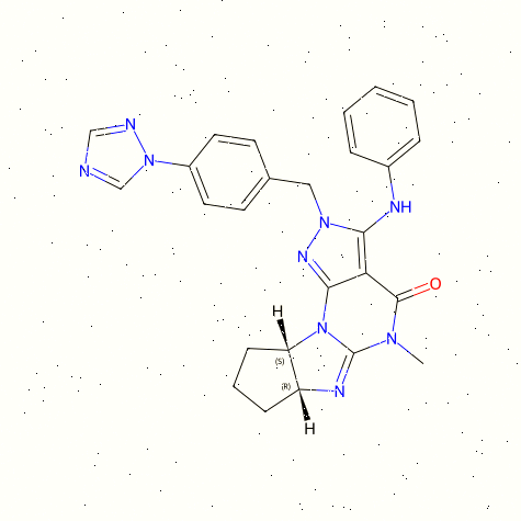 CN1C(=O)c2c(nn(Cc3ccc(-n4cncn4)cc3)c2Nc2ccccc2)N2C1=N[C@@H]1CCC[C@@H]12